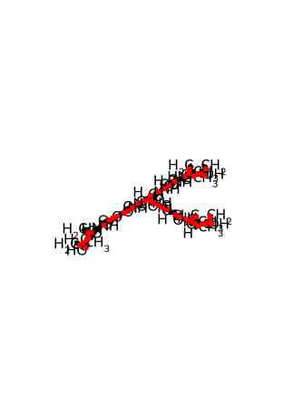 C=CCc1cc(C(C)(C)c2ccc(OC(=O)NCCNC(=O)OCCCCOCCCCOC(=O)NCCNC(=O)OCCC(CCOC(=O)NCCNC(=O)OCOC(=O)NCCNC(=O)Oc3ccc(C(C)(C)c4ccc(O)c(CC=C)c4)cc3CC=C)COC(=O)NCCNC(=O)OCCCCOC(=O)NCCNC(=O)Oc3ccc(C(C)(C)c4ccc(O)c(CC=C)c4)cc3CC=C)c(CC=C)c2)ccc1O